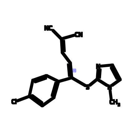 Cn1ccnc1S/C(=C/C=C(C#N)C#N)c1ccc(Cl)cc1